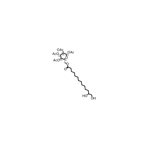 CC(=O)O[C@@H]1O[C@H](COC(=O)CCCCCCCCCCCC(O)CO)[C@@H](OC(C)=O)[C@H](OC(C)=O)[C@H]1OC(C)=O